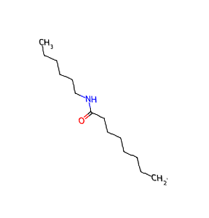 [CH2]CCCCCCC(=O)NCCCCCC